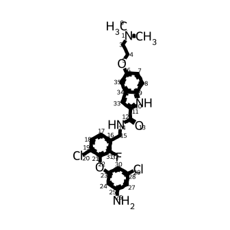 CN(C)CCOc1ccc2[nH]c(C(=O)NCc3ccc(Cl)c(Oc4cc(N)cc(Cl)c4)c3F)cc2c1